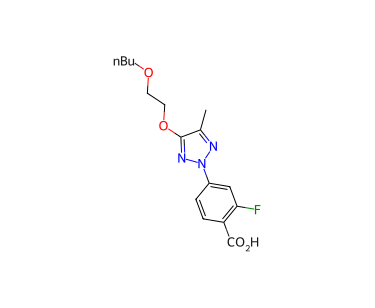 CCCCOCCOc1nn(-c2ccc(C(=O)O)c(F)c2)nc1C